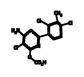 Cc1c(Cl)ccc(-c2cc(N)c(Cl)c(OC(=O)O)n2)c1Cl